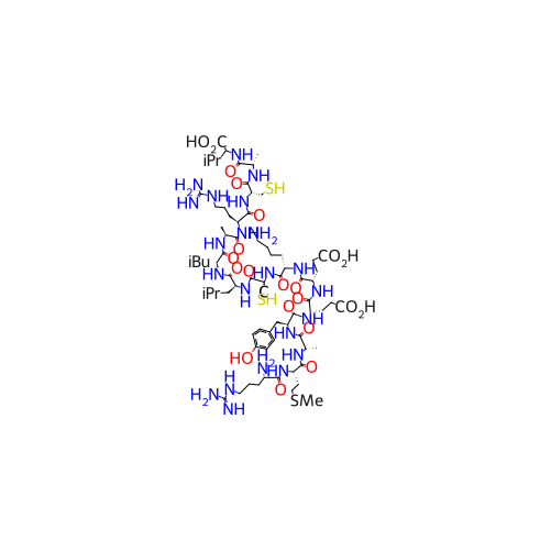 CC[C@H](C)[C@H](NC(=O)[C@H](CC(C)C)NC(=O)[C@H](CS)NC(=O)[C@H](CCCCN)NC(=O)[C@H](CCC(=O)O)NC(=O)[C@H](CCC(=O)O)NC(=O)[C@H](Cc1ccc(O)cc1)NC(=O)[C@H](C)NC(=O)[C@H](CCSC)NC(=O)[C@@H](N)CCCNC(=N)N)C(=O)N[C@@H](C)C(=O)N[C@@H](CCCNC(=N)N)C(=O)N[C@@H](CS)C(=O)N[C@@H](C)C(=O)N[C@H](C(=O)O)C(C)C